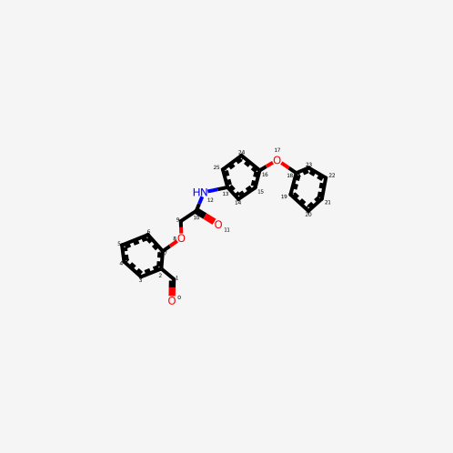 O=Cc1ccccc1OCC(=O)Nc1ccc(Oc2ccccc2)cc1